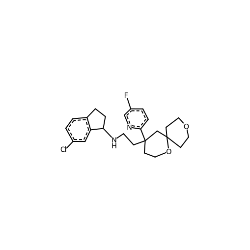 Fc1ccc(C2(CCNC3CCc4ccc(Cl)cc43)CCOC3(CCOCC3)C2)nc1